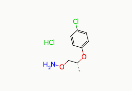 C[C@H](CON)Oc1ccc(Cl)cc1.Cl